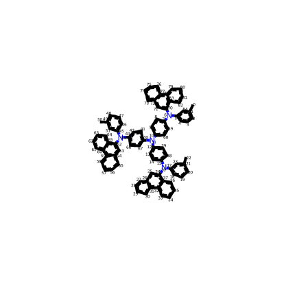 Cc1cccc(N(c2ccc(N(c3ccc(N(c4cccc(C)c4)c4cc5ccccc5c5ccccc45)cc3)c3ccc(N(c4cccc(C)c4)c4cc5ccccc5c5ccccc45)cc3)cc2)c2cc3ccccc3c3ccccc23)c1